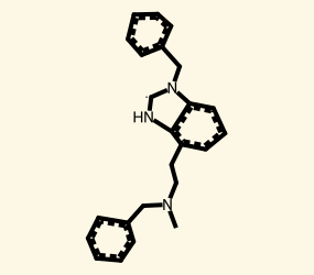 CN(CCc1cccc2c1N[CH]N2Cc1ccccc1)Cc1ccccc1